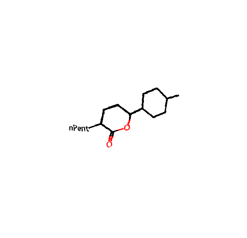 CCCCCC1CCC(C2CCC(C)CC2)OC1=O